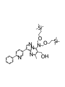 Cc1nc2c(-c3ccc(-c4ccccc4)nc3)cnn2c(N(COCC[Si](C)(C)C)COCC[Si](C)(C)C)c1CO